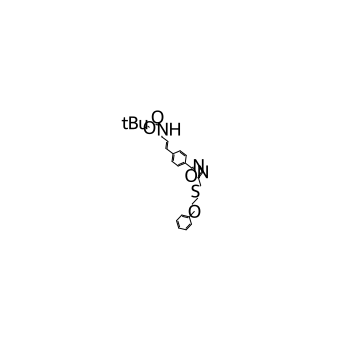 CC(C)(C)OC(=O)NCC=Cc1ccc(-c2nnc(CSCCOc3ccccc3)o2)cc1